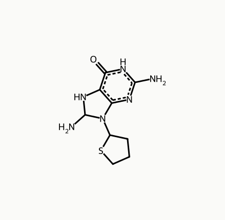 Nc1nc2c(c(=O)[nH]1)NC(N)N2C1CCCS1